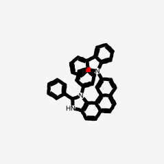 c1ccc(C2Nc3ccc4ccc5ccc(-n6c7ccccc7c7ccccc76)cc5c4c3N2c2ccccc2)cc1